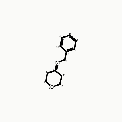 c1ccc(CN=C2CCOCC2)cc1